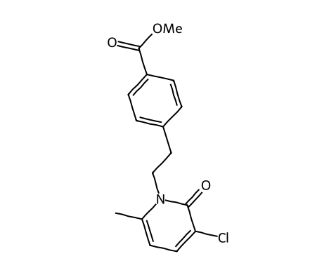 COC(=O)c1ccc(CCn2c(C)ccc(Cl)c2=O)cc1